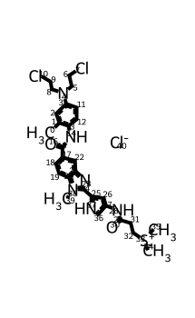 Cc1cc(N(CCCl)CCCl)ccc1NC(=O)c1ccc2c(c1)nc(-c1cc(NC(=O)CC[S+](C)C)c[nH]1)n2C.[Cl-]